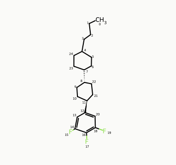 CCCCC1CCC([C@H]2CC[C@H](c3cc(F)c(F)c(F)c3)CC2)CC1